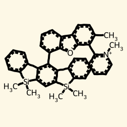 Cc1ccc2c(oc3c(-c4c5c(cc6c4-c4ccccc4[Si]6(C)C)[Si](C)(C)c4ccccc4-5)cccc32)c1-c1cccc[n+]1C